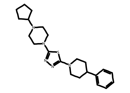 c1ccc(C2CCN(c3nnc(N4CCN(C5CCCC5)CC4)s3)CC2)cc1